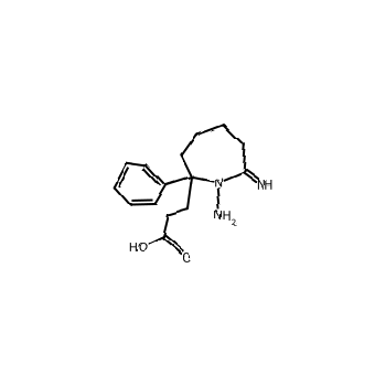 N=C1CCCCC(CCC(=O)O)(c2ccccc2)N1N